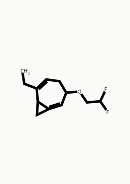 CCC1=CCC(OCC(F)F)C=C2CC12